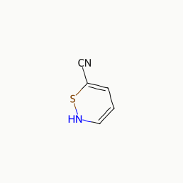 N#CC1=CC=CNS1